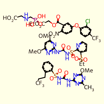 CCOC(=O)COC(=O)c1cc(Oc2ccc(C(F)(F)F)cc2Cl)ccc1[N+](=O)[O-].CCS(=O)(=O)c1cccnc1S(=O)(=O)NC(=O)Nc1nc(OC)cc(OC)n1.COc1nc(C)nc(NC(=O)NS(=O)(=O)c2ccccc2CCC(F)(F)F)n1.O=C(O)CNCP(=O)(O)O